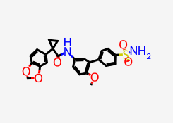 COc1ccc(NC(=O)C2(c3ccc4c(c3)OCO4)CC2)cc1-c1ccc(S(N)(=O)=O)cc1